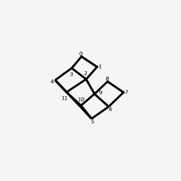 C1CC23C1C1C4C5CCC52C4C13